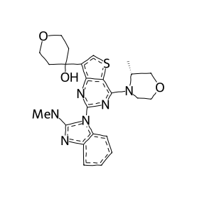 CNc1nc2ccccc2n1-c1nc(N2CCOC[C@H]2C)c2scc(C3(O)CCOCC3)c2n1